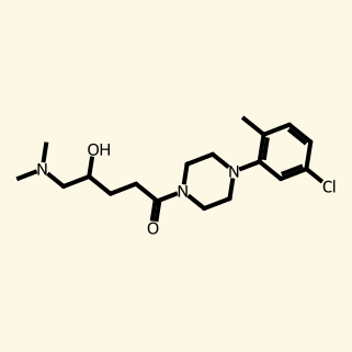 Cc1ccc(Cl)cc1N1CCN(C(=O)CCC(O)CN(C)C)CC1